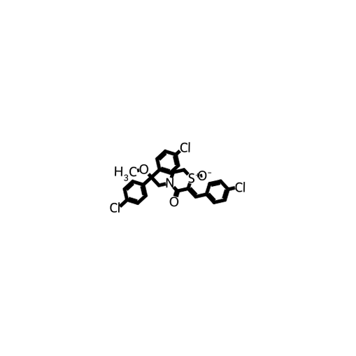 COC(CN1CC[S+]([O-])C(=Cc2ccc(Cl)cc2)C1=O)(c1ccc(Cl)cc1)c1ccc(Cl)cc1